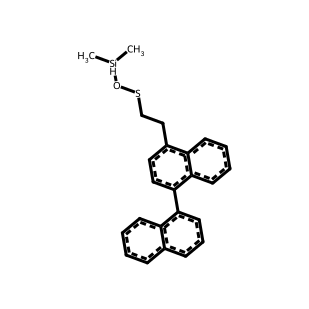 C[SiH](C)OSCCc1ccc(-c2cccc3ccccc23)c2ccccc12